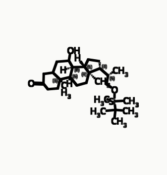 C[C@H](CO[Si](C)(C)C(C)(C)C)[C@H]1CC[C@H]2[C@@H]3C(O)CC4CC(=O)CC[C@]4(C)[C@H]3CC[C@]12C